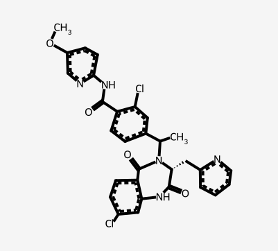 COc1ccc(NC(=O)c2ccc(C(C)N3C(=O)c4ccc(Cl)cc4NC(=O)[C@H]3Cc3ccccn3)cc2Cl)nc1